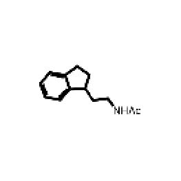 CC(=O)NCCC1CCc2ccccc21